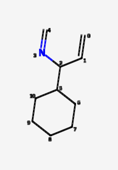 C=CC(N=C)C1CCCCC1